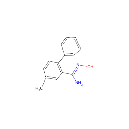 Cc1ccc(-c2ccccc2)c(C(N)=NO)c1